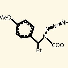 CCC(c1ccc(OC)cc1)N(N=[N+]=N)C(=O)[O-]